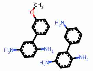 COc1cccc(-c2cc(N)ccc2N)c1.Nc1cccc(-c2cc(N)ccc2N)c1